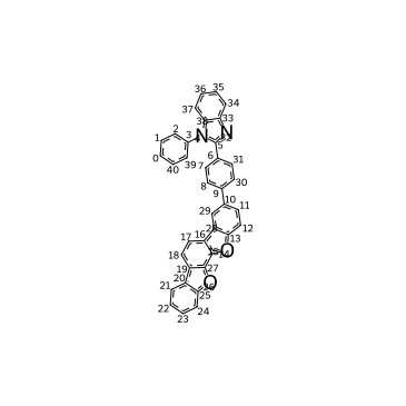 c1ccc(-n2c(-c3ccc(-c4ccc5oc6c(ccc7c8ccccc8oc76)c5c4)cc3)nc3ccccc32)cc1